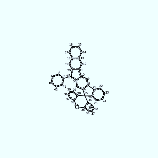 c1ccc(-n2c3cc4c(cc3c3cc5ccccc5cc32)-c2ccccc2C42c3ccccc3Oc3ccccc32)cc1